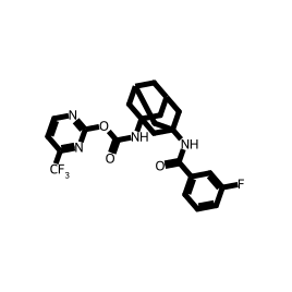 O=C(NC12CC3CC(C1)CC(NC(=O)c1cccc(F)c1)(C3)C2)Oc1nccc(C(F)(F)F)n1